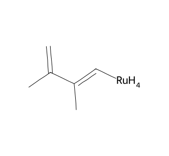 C=C(C)C(C)=[CH][RuH4]